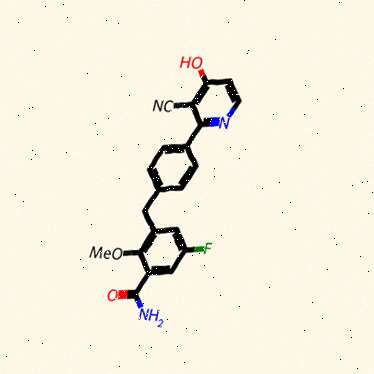 COc1c(Cc2ccc(-c3nccc(O)c3C#N)cc2)cc(F)cc1C(N)=O